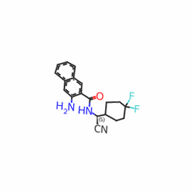 N#C[C@@H](NC(=O)c1cc2ccccc2cc1N)C1CCC(F)(F)CC1